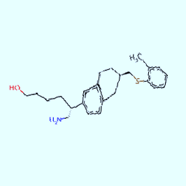 Cc1ccccc1SC[C@@H]1CCc2cc([C@H](CN)CCCCO)ccc2C1